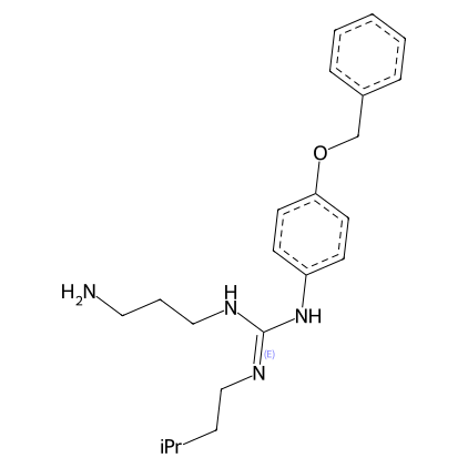 CC(C)CC/N=C(\NCCCN)Nc1ccc(OCc2ccccc2)cc1